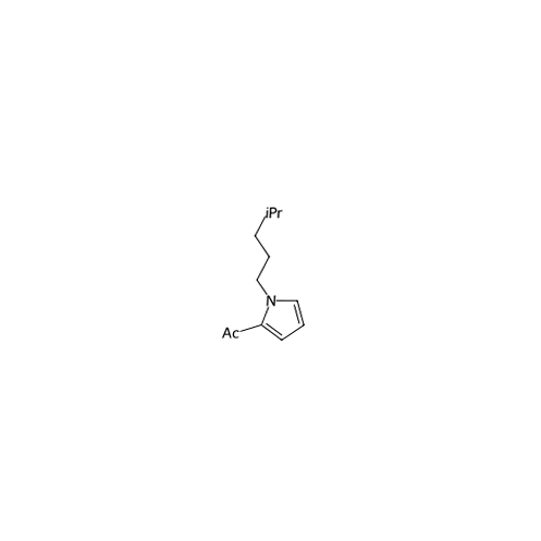 CC(=O)c1cccn1CCCC(C)C